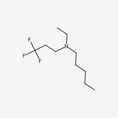 CCCCCN(CC)CCC(F)(F)F